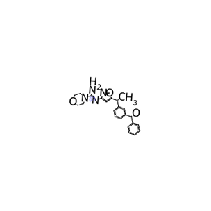 CC(c1cccc(C(=O)c2ccccc2)c1)c1cc(/N=C(\N)N2CCOCC2)no1